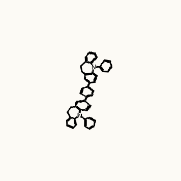 c1ccc(N2c3ccccc3CCc3cc(-c4ccc(-c5ccc6c(c5)CCc5ccccc5N6c5ccccc5)cc4)ccc32)cc1